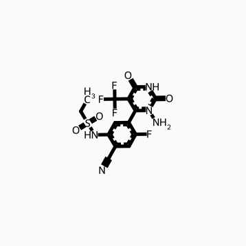 CCS(=O)(=O)Nc1cc(-c2c(C(F)(F)F)c(=O)[nH]c(=O)n2N)c(F)cc1C#N